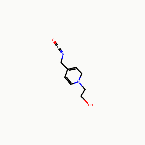 O=C=NCC1=CCN(CCO)C=C1